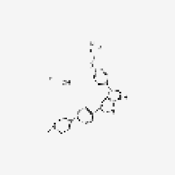 CN1CCN(c2ccc(-c3cnc4[nH]cc(-c5ccc(OCCN)cc5)c4c3)cc2)CC1.Cl.Cl